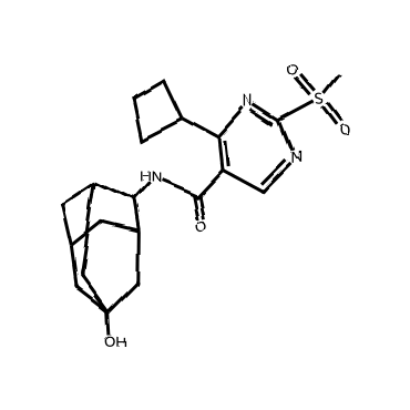 CS(=O)(=O)c1ncc(C(=O)NC2C3CC4CC2CC(O)(C4)C3)c(C2CCC2)n1